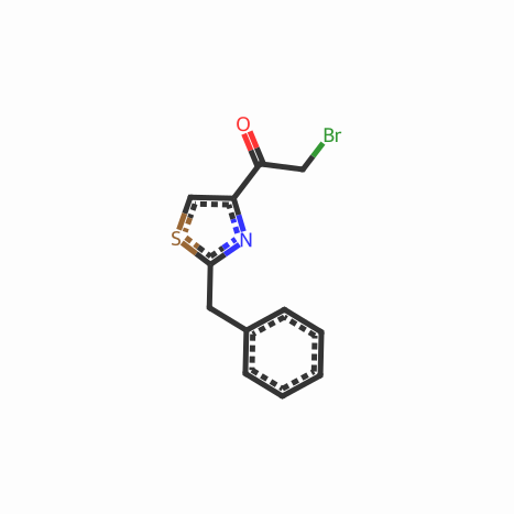 O=C(CBr)c1csc(Cc2ccccc2)n1